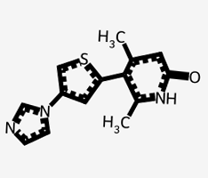 Cc1cc(=O)[nH]c(C)c1-c1cc(-n2ccnc2)cs1